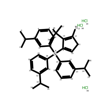 CC(C)c1cccc([Si](C2=CC[C]([Ti])=C2C(C)(C)C)(c2cccc(C(C)C)c2)c2cccc(C(C)C)c2)c1.Cl.Cl.Cl